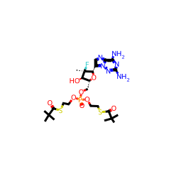 CC(C)(C)C(=O)SCCOP(=O)(OCCSC(=O)C(C)(C)C)OC[C@H]1O[C@@H](c2cnc3c(N)nc(N)nn23)[C@](C)(F)[C@@H]1O